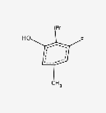 Cc1cc(O)c(C(C)C)c(F)c1